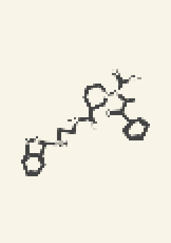 CC(C(=O)c1ccccc1)N(C(=O)O)N1CCCC(C(=O)NCCNc2nsc3ccccc23)C1